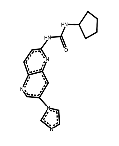 O=C(Nc1ccc2ncc(-n3ccnc3)cc2n1)NC1CCCC1